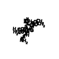 CC(C)(C)OC(=O)CN1CC(c2cccs2)SCC(N[C@@H](CCCCN)C(=O)OC(C)(C)C)C1=O